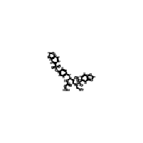 CC(C)CN(C[C@@H](O)[C@H](Cc1ccc(OS(=O)(=O)c2ccc3c(c2)OCO3)cc1)NC(=O)OC(C)(C)C)S(=O)(=O)c1ccc2c(c1)OCO2